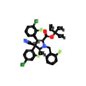 CC1N(Cc2ccccc2F)C(C(=O)OC(C)(C)C)[C@H](c2cccc(Cl)c2F)[C@@]1(C#N)c1ccc(Cl)cc1F